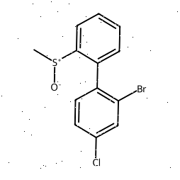 C[S+]([O-])c1ccccc1-c1ccc(Cl)cc1Br